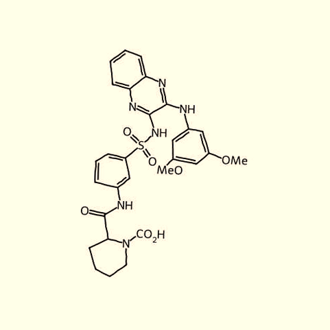 COc1cc(Nc2nc3ccccc3nc2NS(=O)(=O)c2cccc(NC(=O)C3CCCCN3C(=O)O)c2)cc(OC)c1